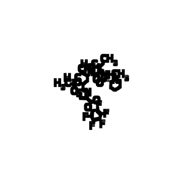 CCC(C)C(NC(=O)[C@H]1CCCCN1C)C(=O)N(C)C(CC(OC(C)=O)c1nc(C(=O)Oc2c(F)c(F)c(F)c(F)c2F)cs1)C(C)C